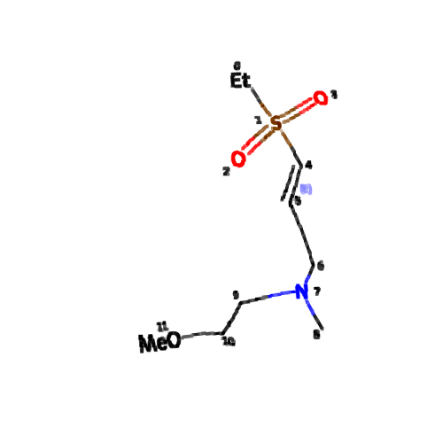 CCS(=O)(=O)/C=C/CN(C)CCOC